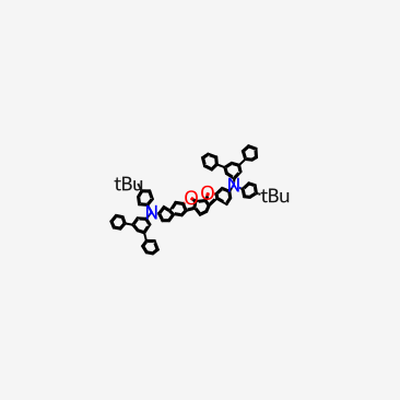 CC(C)(C)c1ccc(N(c2cc(-c3ccccc3)cc(-c3ccccc3)c2)c2ccc3cc4c(cc3c2)oc2c4ccc3c4ccc(N(c5ccc(C(C)(C)C)cc5)c5cc(-c6ccccc6)cc(-c6ccccc6)c5)cc4oc32)cc1